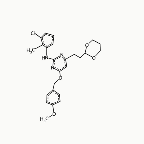 COc1ccc(COc2cc(CCC3OCCCO3)nc(Nc3cccc(Cl)c3C)n2)cc1